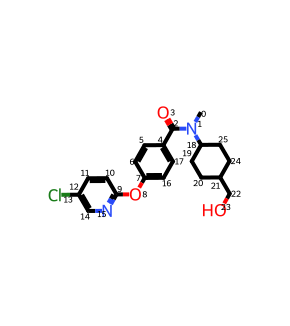 CN(C(=O)c1ccc(Oc2ccc(Cl)cn2)cc1)C1CCC(CO)CC1